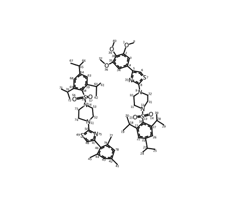 COc1cc(-c2csc(N3CCN(S(=O)(=O)c4c(C(C)C)cc(C(C)C)cc4C(C)C)CC3)n2)cc(OC)c1OC.Cc1cc(C)c(-c2csc(N3CCN(S(=O)(=O)c4c(C(C)C)cc(C(C)C)cc4C(C)C)CC3)n2)c(C)c1